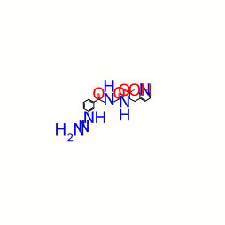 NN=CNc1cccc(C(=O)CNCC(=O)NC(Cc2cccnc2)C(=O)O)c1